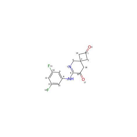 O=C1CC2(CN=C(Nc3cc(F)cc(F)c3)C(=O)C2)C1